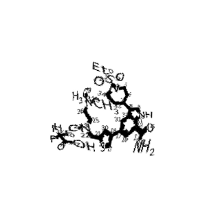 CCS(=O)(=O)N1CCC(c2c[nH]c3c(C(N)=O)cc(-c4csc(CN(C)CCN(C)C)c4)cc23)CC1.O=C(O)C(F)(F)F